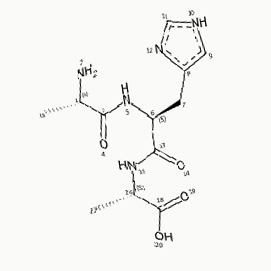 C[C@H](N)C(=O)N[C@@H](Cc1c[nH]cn1)C(=O)N[C@@H](C)C(=O)O